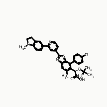 Cc1cc2nc(-c3ccnc(-c4ccc5c(c4)CCN5C)c3)sc2c(-c2ccc(Cl)cc2)c1[C@H](OC(C)(C)C)C(=O)O